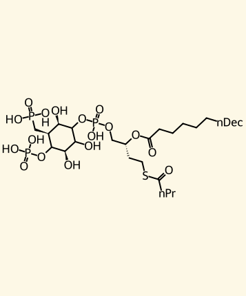 CCCCCCCCCCCCCCCC(=O)O[C@H](CCSC(=O)CCC)COP(=O)(O)OC1C(O)[C@@H](O)C(OP(=O)(O)O)[C@@H](CP(=O)(O)O)[C@H]1O